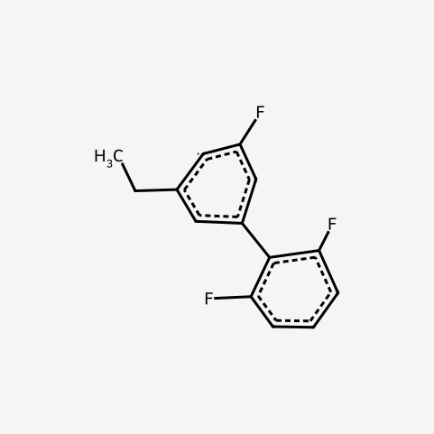 CCc1[c]c(F)cc(-c2c(F)cccc2F)c1